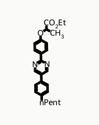 CCCCCc1ccc(-c2cnc(-c3ccc(OC(C)C(=O)OCC)cc3)nc2)cc1